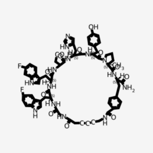 C[C@@]12CCCN1C(=O)[C@H](Cc1ccc(O)cc1)NC(=O)[C@H](Cc1cnc[nH]1)NC(=O)C(CC(=O)O)NC(=O)[C@H](Cc1c[nH]c3cc(F)ccc13)NC(=O)[C@H](Cc1c[nH]c3ccc(F)cc13)NC(=O)CNC(=O)CCCCCNC(=O)c1ccc(cc1)C[C@@H](C(N)=O)NC2=O